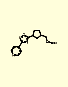 CCCCOCC1CCC(c2nc(-c3ccncc3)no2)C1